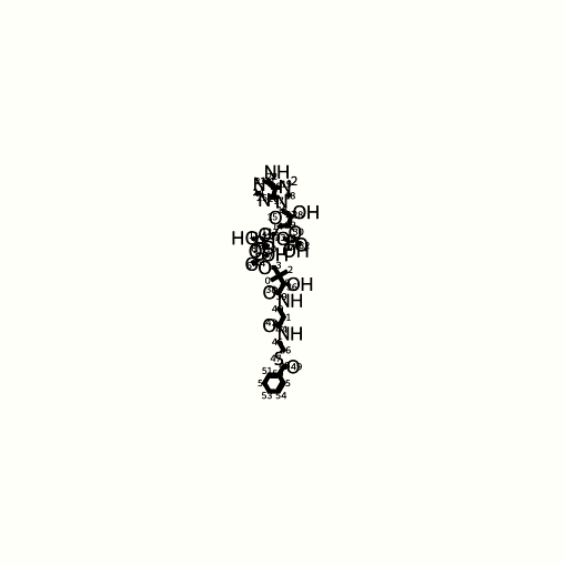 CC(C)(COP(=O)(O)OP(=O)(O)OC[C@H]1O[C@@H](n2cnc3c(N)ncnc32)[C@H](O)[C@@H]1OP(=O)(O)O)[C@@H](O)C(=O)NCCC(=O)NCCSC(=O)C1=CCCC=C1